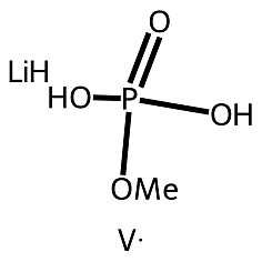 COP(=O)(O)O.[LiH].[V]